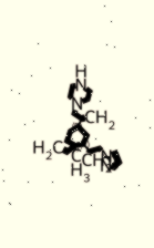 C=C[C@]1(C)CC[C@@H](C(=C)CN2CCNCC2)C[C@H]1C(=C)Cn1cccn1